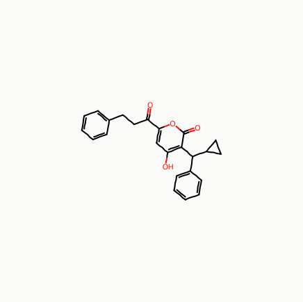 O=C(CCc1ccccc1)c1cc(O)c(C(c2ccccc2)C2CC2)c(=O)o1